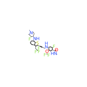 CNC(=O)c1cc(OC(F)F)c(NCC#Cc2sc3c(NC4CCN(C)CC4F)cccc3c2CC(F)(F)F)cc1F